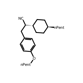 CCCCCOc1ccc(CC(C#N)[C@H]2CC[C@H](CCCCC)CC2)cc1